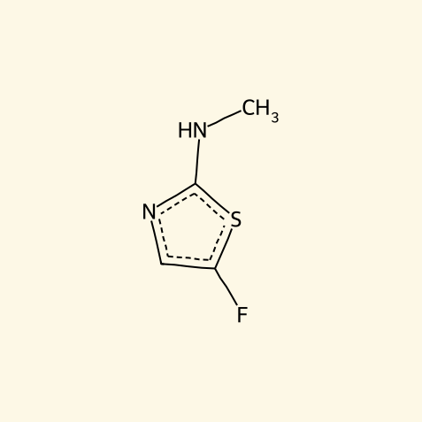 CNc1ncc(F)s1